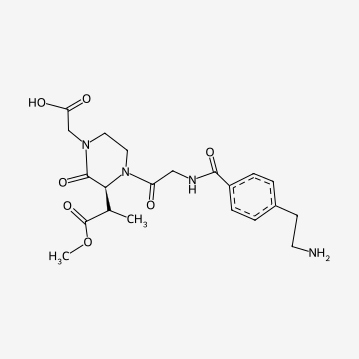 COC(=O)C(C)[C@H]1C(=O)N(CC(=O)O)CCN1C(=O)CNC(=O)c1ccc(CCN)cc1